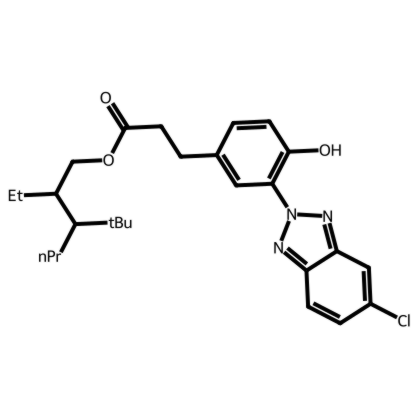 CCCC(C(CC)COC(=O)CCc1ccc(O)c(-n2nc3ccc(Cl)cc3n2)c1)C(C)(C)C